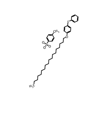 CCCCCCCCCCCCCCCCCCOc1ccc([I+]c2ccccc2)cc1.Cc1ccc(S(=O)(=O)[O-])cc1